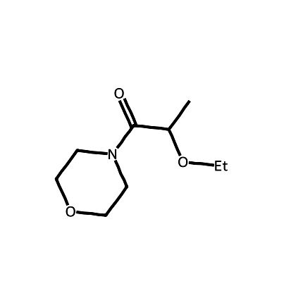 CCOC(C)C(=O)N1CCOCC1